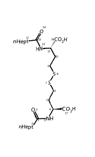 CCCCCCCC(=O)N[C@@H](CCSSCC[C@H](NC(=O)CCCCCCC)C(=O)O)C(=O)O